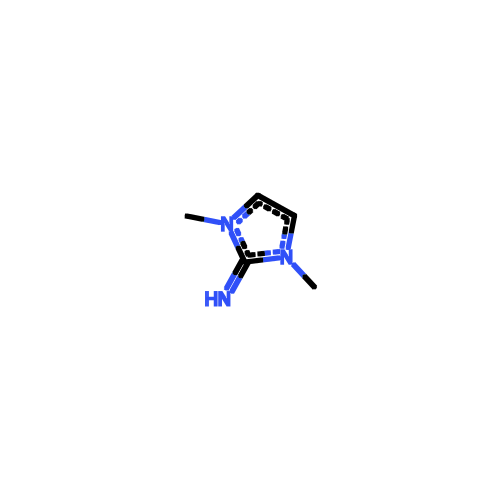 Cn1ccn(C)c1=N